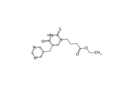 CCOC(=O)CCCn1cc(Cc2cncnc2)c(=O)[nH]c1=S